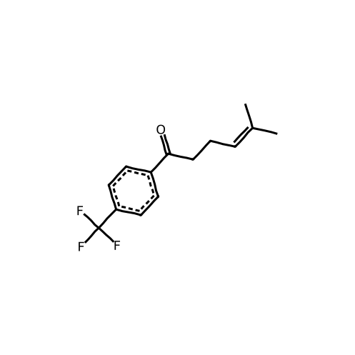 CC(C)=CCCC(=O)c1ccc(C(F)(F)F)cc1